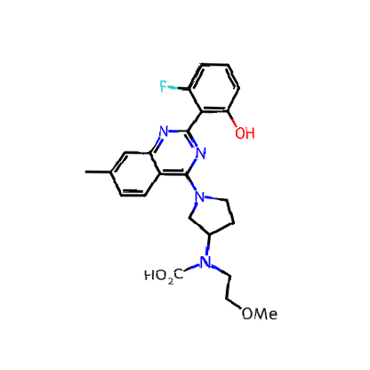 COCCN(C(=O)O)C1CCN(c2nc(-c3c(O)cccc3F)nc3cc(C)ccc23)C1